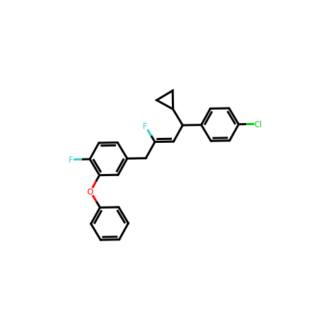 FC(=CC(c1ccc(Cl)cc1)C1CC1)Cc1ccc(F)c(Oc2ccccc2)c1